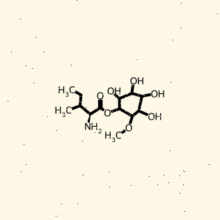 CCC(C)[C@H](N)C(=O)OC1C(O)C(O)C(O)C(O)C1OC